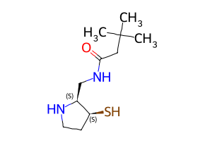 CC(C)(C)CC(=O)NC[C@@H]1NCC[C@@H]1S